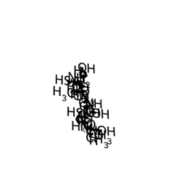 CC[C@H](C)[C@H](NC(=O)[C@H](Cc1ccc(O)cc1)NC(=O)[C@@H](N)CS)C(=O)NCC(=O)N[C@@H](CC(=O)O)C(=O)N[C@@H](CS)C(=O)N1CCC[C@H]1C(=O)N[C@@H](CC(C)C)C(=O)NCC(=O)O